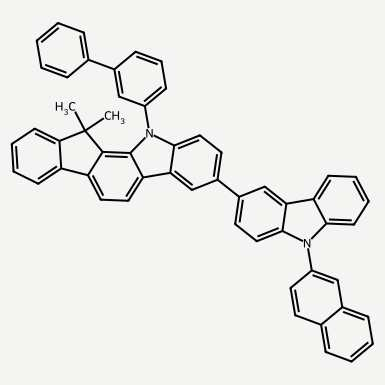 CC1(C)c2ccccc2-c2ccc3c4cc(-c5ccc6c(c5)c5ccccc5n6-c5ccc6ccccc6c5)ccc4n(-c4cccc(-c5ccccc5)c4)c3c21